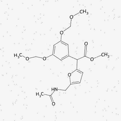 COCOc1cc(OCOC)cc(C(C(=O)OC)c2ccc(CNC(C)=O)o2)c1